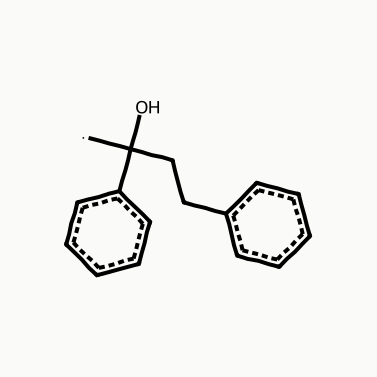 [CH2]C(O)(CCc1ccccc1)c1ccccc1